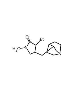 CCC1C(=O)N(C)CC1CC1CN2CCC1CC2